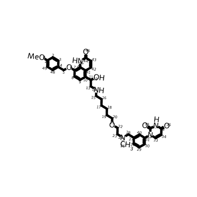 COc1ccc(COc2ccc(C(O)CNCCCCCCOCCN(C)Cc3cccc(-n4ccc(=O)[nH]c4=O)c3)c3ccc(=O)[nH]c23)cc1